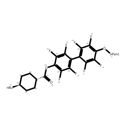 CCCCCOc1c(F)c(F)c(-c2c(F)c(F)c(OC(=O)[C@H]3CC[C@H](CCCC)CC3)c(F)c2F)c(F)c1F